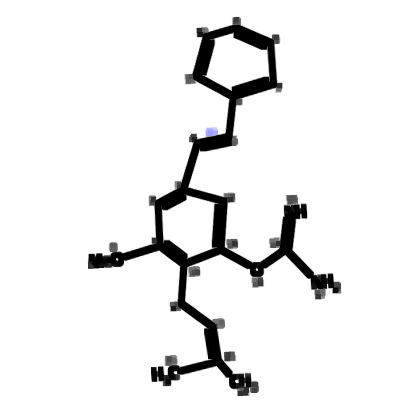 COc1cc(/C=C/c2ccccc2)cc(OC(=N)N)c1CC=C(C)C